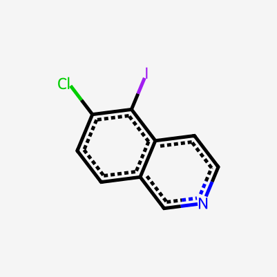 Clc1ccc2cnccc2c1I